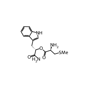 CSC[C@H](N)C(=O)O[C@@H](Cc1c[nH]c2ccccc12)C(N)=O